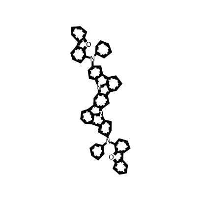 c1ccc(N(c2ccc3c(c2)c2cccc4c5cc6c(cc5n3c24)c2cccc3c4cc(N(c5ccccc5)c5cccc7c5oc5ccccc57)ccc4n6c32)c2cccc3c2oc2ccccc23)cc1